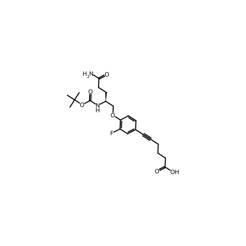 CC(C)(C)OC(=O)N[C@@H](CCC(N)=O)COc1ccc(C#CCCCC(=O)O)cc1F